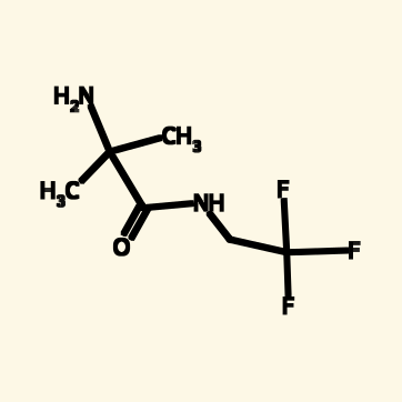 CC(C)(N)C(=O)NCC(F)(F)F